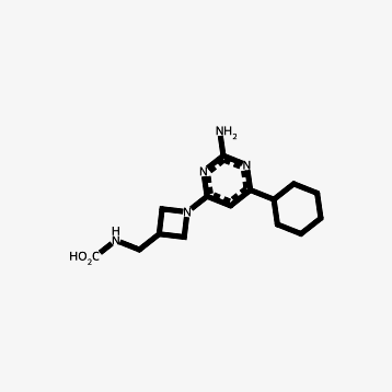 Nc1nc(C2CCCCC2)cc(N2CC(CNC(=O)O)C2)n1